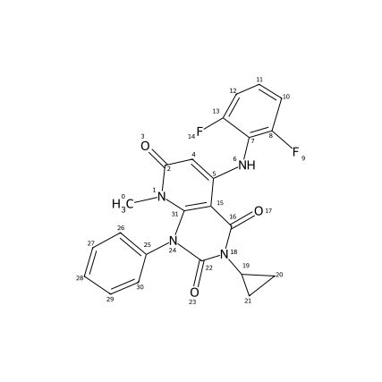 Cn1c(=O)cc(Nc2c(F)cccc2F)c2c(=O)n(C3CC3)c(=O)n(-c3ccccc3)c21